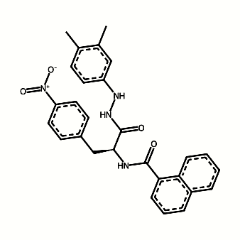 Cc1ccc(NNC(=O)[C@H](Cc2ccc([N+](=O)[O-])cc2)NC(=O)c2cccc3ccccc23)cc1C